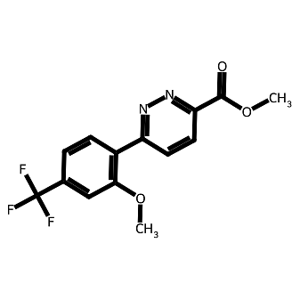 COC(=O)c1ccc(-c2ccc(C(F)(F)F)cc2OC)nn1